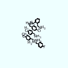 COc1ccc(CN)cc1.Cc1ccc(CN)cc1.NCc1ccc(Cl)cc1.NCc1ccc(F)cc1.NCc1ccccc1CN